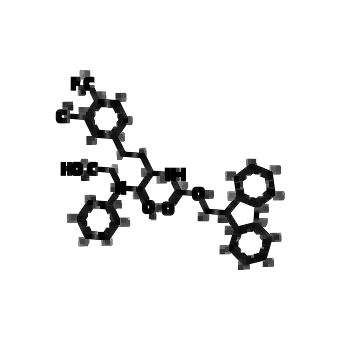 O=C(O)CN(C(=O)C(CCc1ccc(C(F)(F)F)c(Cl)c1)NC(=O)OCC1c2ccccc2-c2ccccc21)c1ccccc1